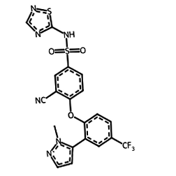 Cn1nccc1-c1cc(C(F)(F)F)ccc1Oc1ccc(S(=O)(=O)Nc2ncns2)cc1C#N